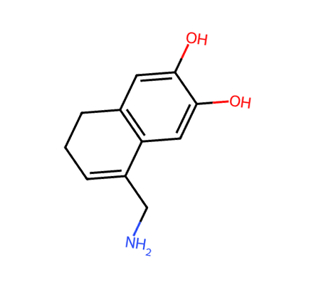 NCC1=CCCc2cc(O)c(O)cc21